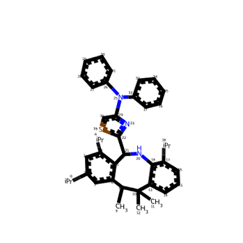 CC(C)c1cc(C(C)C)c2c(c1)C(C)C(C)(C)c1cccc(C(C)C)c1NC2c1nc(N(c2ccccc2)c2ccccc2)cs1